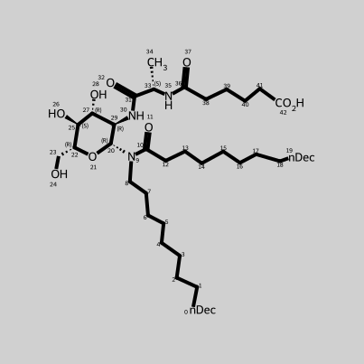 CCCCCCCCCCCCCCCCCCN(C(=O)CCCCCCCCCCCCCCCCC)[C@@H]1O[C@H](CO)[C@@H](O)[C@H](O)[C@H]1NC(=O)[C@H](C)NC(=O)CCCCC(=O)O